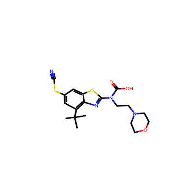 CC(C)(C)c1cc(SC#N)cc2sc(N(CCN3CCOCC3)C(=O)O)nc12